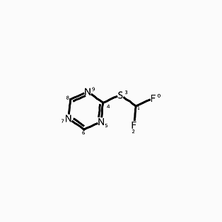 FC(F)Sc1ncncn1